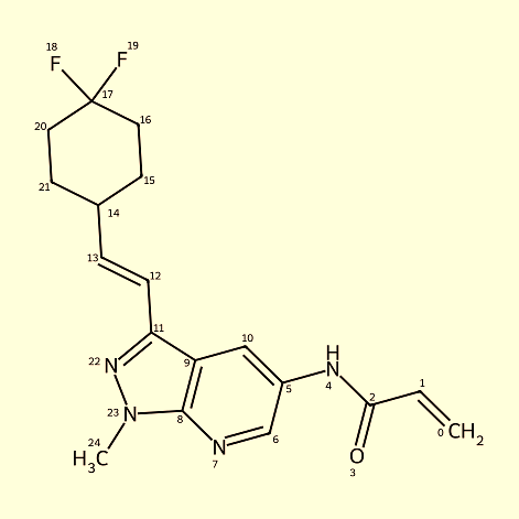 C=CC(=O)Nc1cnc2c(c1)c(C=CC1CCC(F)(F)CC1)nn2C